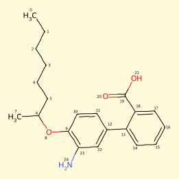 CCCCCCC(C)Oc1ccc(-c2ccccc2C(=O)O)cc1N